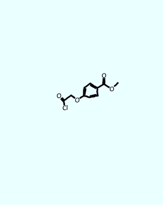 COC(=O)c1ccc(OCC(=O)Cl)cc1